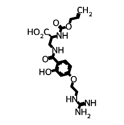 C=CCOC(=O)N[C@@H](CNC(=O)c1ccc(OCCNC(=N)N)cc1O)C(=O)O